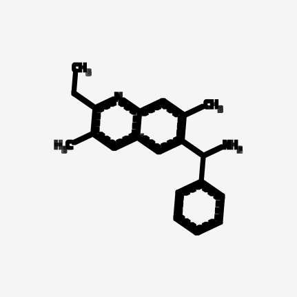 CCc1nc2cc(C)c(C(N)c3ccccc3)cc2cc1C